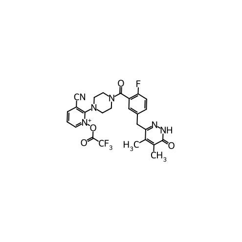 Cc1c(Cc2ccc(F)c(C(=O)N3CCN(c4c(C#N)ccc[n+]4OC(=O)C(F)(F)F)CC3)c2)n[nH]c(=O)c1C